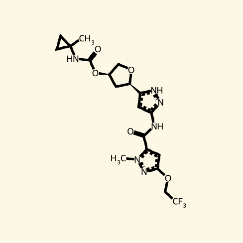 Cn1nc(OCC(F)(F)F)cc1C(=O)Nc1cc([C@H]2C[C@@H](OC(=O)NC3(C)CC3)CO2)[nH]n1